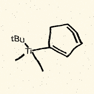 C[C](C)(C)[Ti]([CH3])([CH3])[C]1=CC=CC1